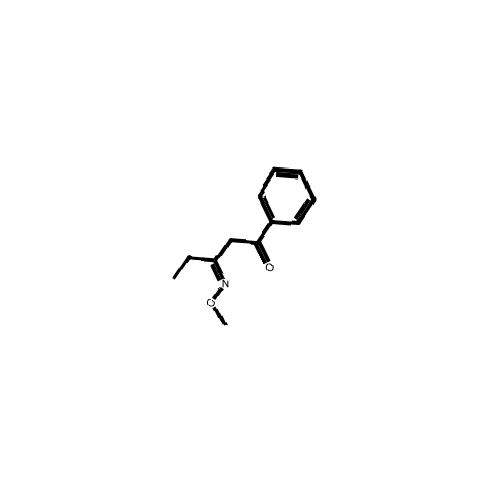 CCC(CC(=O)c1ccccc1)=NOC